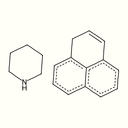 C1=Cc2cccc3cccc(c23)C1.C1CCNCC1